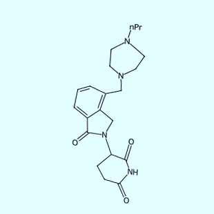 CCCN1CCN(Cc2cccc3c2CN(C2CCC(=O)NC2=O)C3=O)CC1